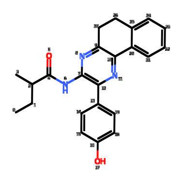 CCC(C)C(=O)Nc1nc2c(nc1-c1ccc(O)cc1)-c1ccccc1CC2